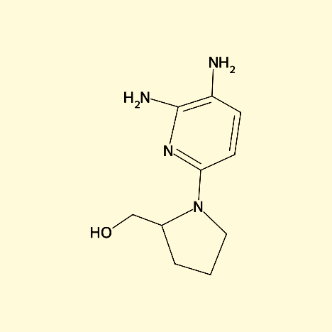 Nc1ccc(N2CCCC2CO)nc1N